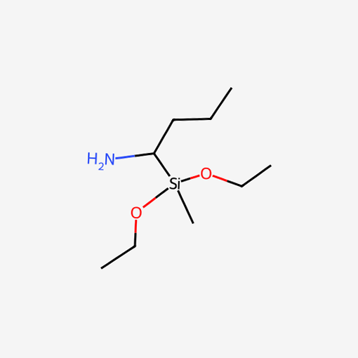 CCCC(N)[Si](C)(OCC)OCC